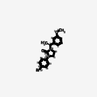 COc1cccc([C@@H](C)N2CCN(c3ccc(Br)cc3)C2=O)c1